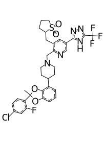 CC1(c2ccc(Cl)cc2F)Oc2cccc(C3CCN(Cc4ncc(-c5nnc(C(F)(F)F)[nH]5)cc4CC4CCCS4(=O)=O)CC3)c2O1